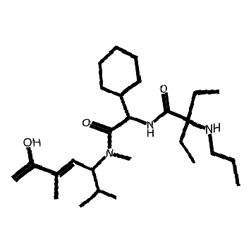 C=C(O)/C(C)=C/C(C(C)C)N(C)C(=O)C(NC(=O)C(CC)(CC)NCCC)C1CCCCC1